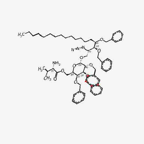 CCCCCCCCCCCCCC[C@@H](OCc1ccccc1)[C@@H](OCc1ccccc1)[C@H](CO[C@H]1O[C@H](COC(=O)[C@@H](N)C(C)C)[C@H](OCc2ccccc2)[C@H](OCc2ccccc2)[C@H]1OCc1ccccc1)N=[N+]=[N-]